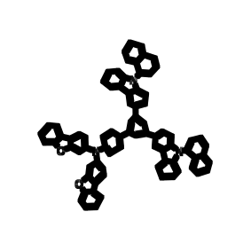 c1ccc2c(-n3c4ccccc4c4cc(-c5cc(-c6ccc(N(c7ccc8c(c7)oc7ccccc78)c7ccc8c(c7)oc7ccccc78)cc6)cc(-c6ccc7c(c6)c6ccccc6n7-c6cccc7ccccc67)c5)ccc43)cccc2c1